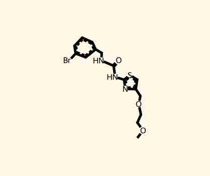 COCCOCc1csc(NC(=O)NCc2cccc(Br)c2)n1